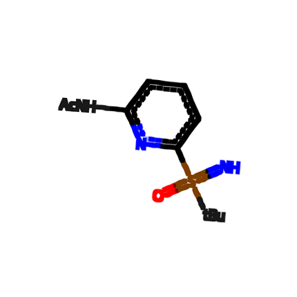 CC(=O)Nc1cccc(S(=N)(=O)C(C)(C)C)n1